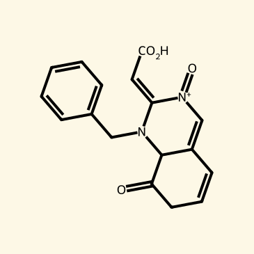 O=C(O)C=C1N(Cc2ccccc2)C2C(=O)CC=CC2=C[N+]1=O